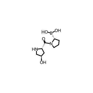 O=C([C@@H]1C[C@@H](O)CN1)N1CCC[C@H]1B(O)O